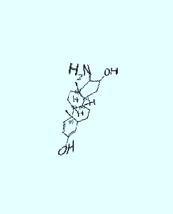 C[C@]12C=CC(O)=CC1CC[C@@H]1[C@H]2CC[C@]2(C)C(N)C(O)C[C@@H]12